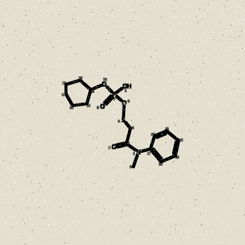 CN(C(=O)CSOP(=O)(O)OC1CCCCC1)c1ccccc1